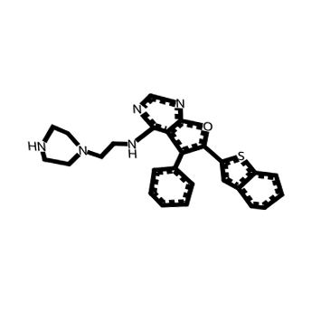 c1ccc(-c2c(-c3cc4ccccc4s3)oc3ncnc(NCCN4CCNCC4)c23)cc1